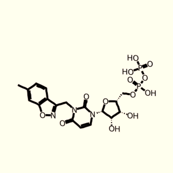 Cc1ccc2c(Cn3c(=O)ccn([C@@H]4O[C@H](COP(=O)(O)OP(=O)(O)O)[C@H](O)[C@@H]4O)c3=O)noc2c1